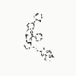 CC(C)(C)OC(=O)COc1cccc(CN(Cc2ccc(-c3ncccn3)cc2)S(=O)(=O)c2ccccc2)c1